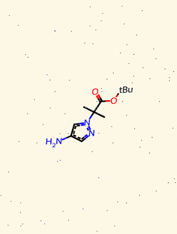 CC(C)(C)OC(=O)C(C)(C)n1cc(N)cn1